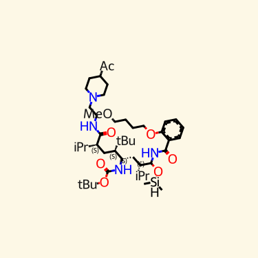 COCCCCOc1ccccc1C(=O)NC(O[SiH](C)C)[C@@H](C[C@H](NC(=O)OC(C)(C)C)[C@@H](C[C@H](C(=O)NCCN1CCC(C(C)=O)CC1)C(C)C)C(C)(C)C)C(C)C